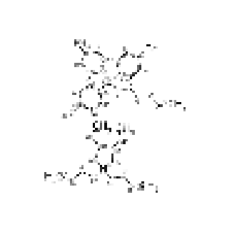 CCCCCC[B-](c1ccc(F)cc1)(c1ccc(F)cc1)c1ccc(F)cc1.CCCC[N+](CCCC)(CCCC)CCCC